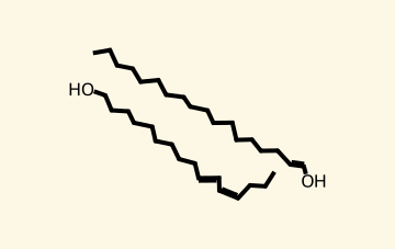 CCC/C=C\C=C\CCCCCCCCCO.CCCCCCCCCCCCCCCCC=CO